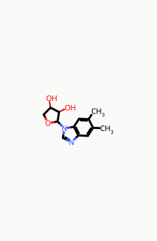 Cc1cc2ncn(C3OC[C@@H](O)[C@H]3O)c2cc1C